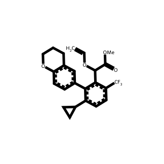 C=COC(C(=O)OC)c1c(C(F)(F)F)ccc(C2CC2)c1-c1ccc2c(c1)CCCO2